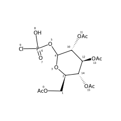 CC(=O)OC[C@H]1OC(OP(=O)(O)Cl)[C@H](OC(C)=O)[C@@H](OC(C)=O)[C@@H]1OC(C)=O